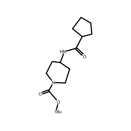 CC(C)(C)OC(=O)N1CCC(NC(=O)C2CCCC2)CC1